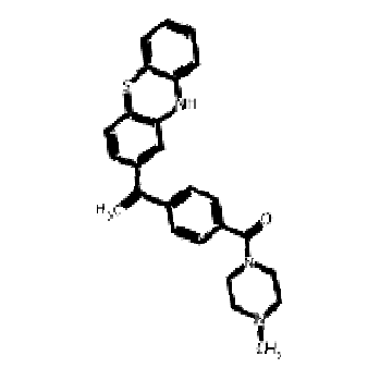 C=C(c1ccc(C(=O)N2CCN(C)CC2)cc1)c1ccc2c(c1)Nc1ccccc1S2